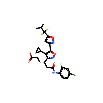 CC(C)C(F)(F)c1cc(-c2onc([C@@H](CCC(=O)O)CC(=O)Nc3ccc(Cl)cc3F)c2C2CC2)no1